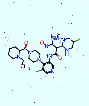 CCN1CCCCC1C(=O)N1CCN(c2c(F)cncc2NC(=O)C(C(N)N=O)C2NCC(F)CN2C)CC1